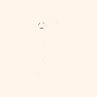 CCCCCCCCCCCCCCc1cccc[n+]1CCC